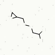 ClC(Cl)CO[SiH2]CC1CO1